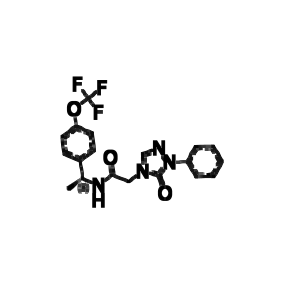 C[C@H](NC(=O)Cn1cnn(-c2ccccc2)c1=O)c1ccc(OC(F)(F)F)cc1